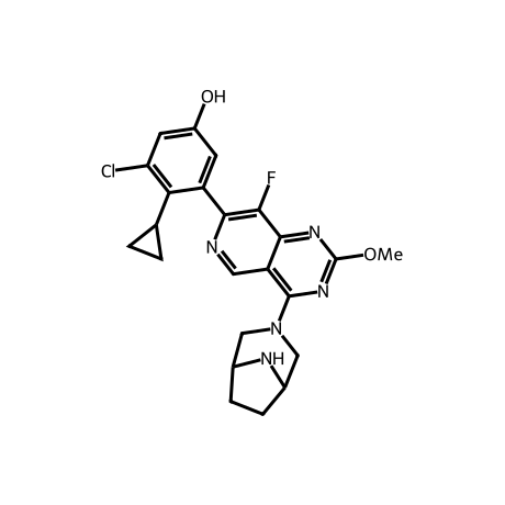 COc1nc(N2CC3CCC(C2)N3)c2cnc(-c3cc(O)cc(Cl)c3C3CC3)c(F)c2n1